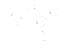 Cl.O=C(/C=C/c1ccc(O)c(O)c1)N(Cc1cccc(Cl)c1)c1ccc(-c2c[nH]cn2)cc1